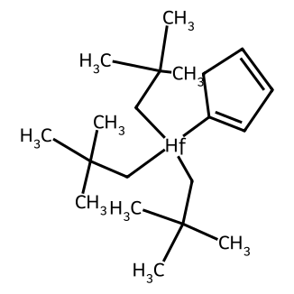 CC(C)(C)[CH2][Hf]([CH2]C(C)(C)C)([CH2]C(C)(C)C)[C]1=CC=CC1